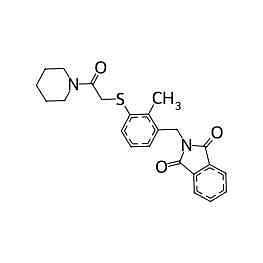 Cc1c(CN2C(=O)c3ccccc3C2=O)cccc1SCC(=O)N1CCCCC1